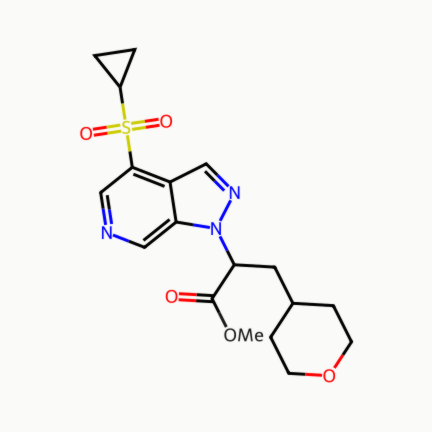 COC(=O)C(CC1CCOCC1)n1ncc2c(S(=O)(=O)C3CC3)cncc21